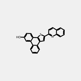 Oc1ccc2c(c1)c1ccccc1c1cc(-c3ccc4ccccc4n3)sc21